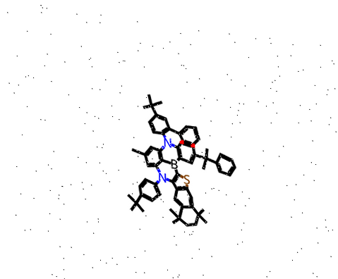 Cc1cc2c3c(c1)N(c1ccc(C(C)(C)C)cc1)c1c(sc4cc5c(cc14)C(C)(C)CCC5(C)C)B3c1cc(C(C)(C)c3ccccc3)ccc1N2c1ccc(C(C)(C)C)cc1-c1ccccc1